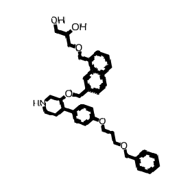 OCC(O)COCc1cccc2ccc(COC3CNCCC3c3ccc(OCCCOCc4ccccc4)cc3)cc12